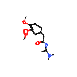 COc1ccc(CC(=O)/N=C(\C)N(C)C)cc1OC